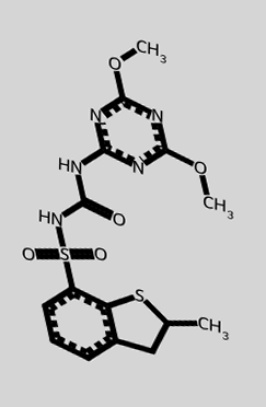 COc1nc(NC(=O)NS(=O)(=O)c2cccc3c2SC(C)C3)nc(OC)n1